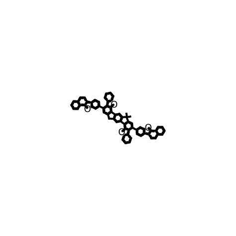 CC1(C)c2cc3c(cc2-c2c1cc(-c1ccc4c(c1)oc1c5ccccc5ccc41)c1c2oc2ccccc21)Cc1cc(-c2ccc4c(c2)oc2c5ccccc5ccc42)c2c(oc4ccccc42)c1-3